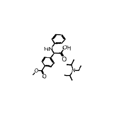 CCN(C(C)C)C(C)C.COC(=O)c1ccc(C(Nc2ccccc2)C(=O)O)cc1